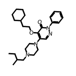 CCC(C)CN1CCN(c2cnn(-c3ccccc3)c(=O)c2OCCC2CCCCC2)CC1